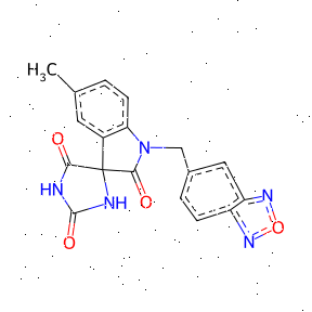 Cc1ccc2c(c1)C1(NC(=O)NC1=O)C(=O)N2Cc1ccc2nonc2c1